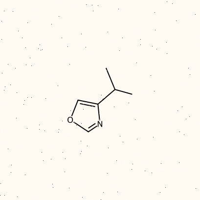 CC(C)c1cocn1